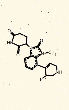 Cn1c(=O)n(C2CCC(=O)NC2=O)c2cccc(C3=CCNCC3F)c21